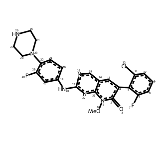 COn1c(=O)c(-c2c(F)cccc2Cl)cc2cnc(Nc3ccc(N4CCNCC4)c(F)c3)nc21